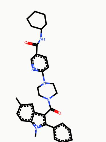 Cc1ccc2c(c1)c(C(=O)N1CCN(c3ccc(C(=O)NC4CCCCC4)cn3)CC1)c(-c1ccccc1)n2C